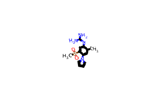 Cc1cc(-n2cccc2)c(S(C)(=O)=O)cc1N=C(N)N